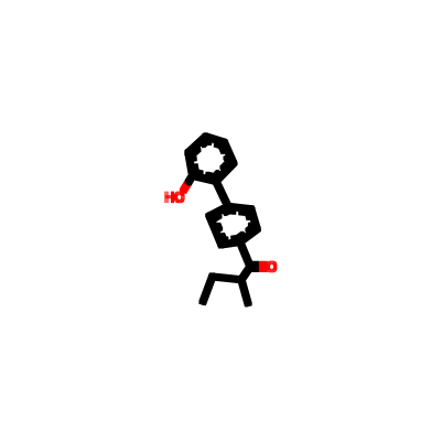 CCC(C)C(=O)c1ccc(-c2ccccc2O)cc1